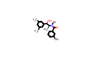 CCCc1cccc(C(=O)N(C(C)C)[C@@H](C)[C@H](O)c2cc(C(F)(F)F)cc(C(F)(F)F)c2)c1